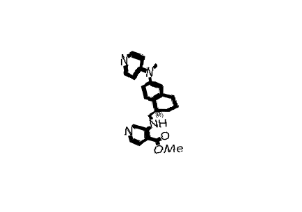 COC(=O)c1ccncc1NC[C@@H]1CCCc2cc(N(C)c3ccncc3)ccc21